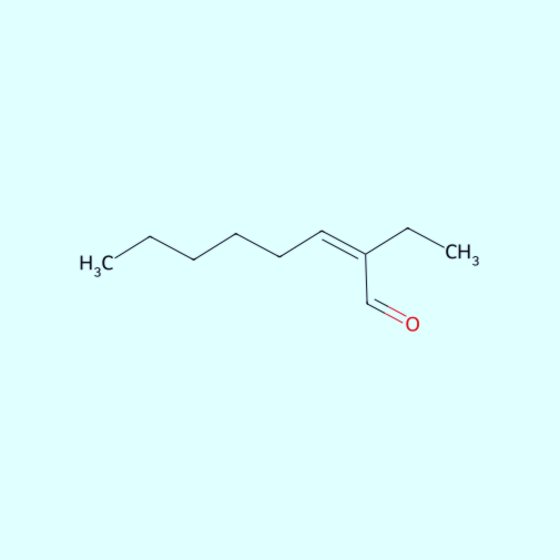 CCCCCC=C(C=O)CC